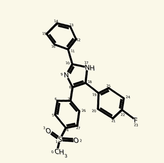 CS(=O)(=O)c1ccc(-c2nc(-c3cc[c]cc3)[nH]c2-c2ccc(F)cc2)cc1